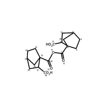 O=C(O)C1CC2CCC1(C(=O)OC(=O)C13CCC(CC1C(=O)O)C3)C2